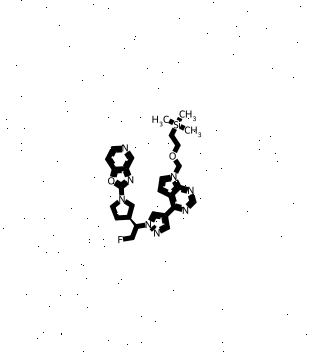 C[Si](C)(C)CCOCn1ccc2c(-c3cnn(C(CF)[C@H]4CCN(c5nc6cnccc6o5)C4)c3)ncnc21